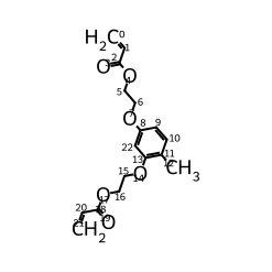 C=CC(=O)OCCOc1ccc(C)c(OCCOC(=O)C=C)c1